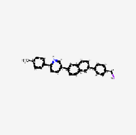 Cc1ccc(-c2ccc(-c3ccc4cc(-c5ccc(CI)cc5)ccc4c3)cn2)cc1